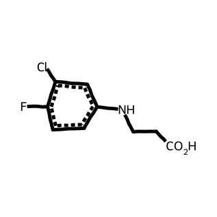 O=C(O)CCNc1ccc(F)c(Cl)c1